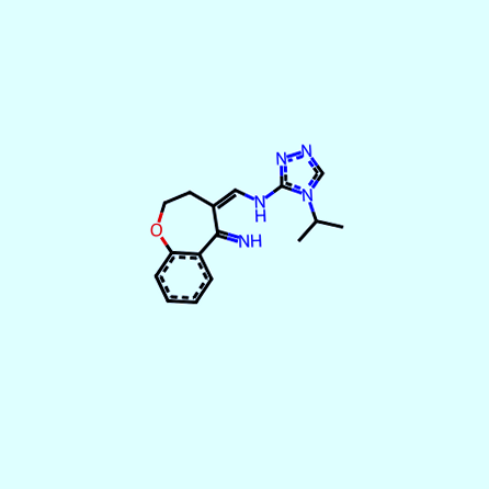 CC(C)n1cnnc1N/C=C1/CCOc2ccccc2C1=N